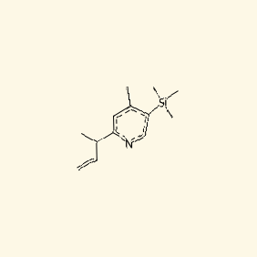 C=CC(C)c1cc(C)c([Si](C)(C)C)cn1